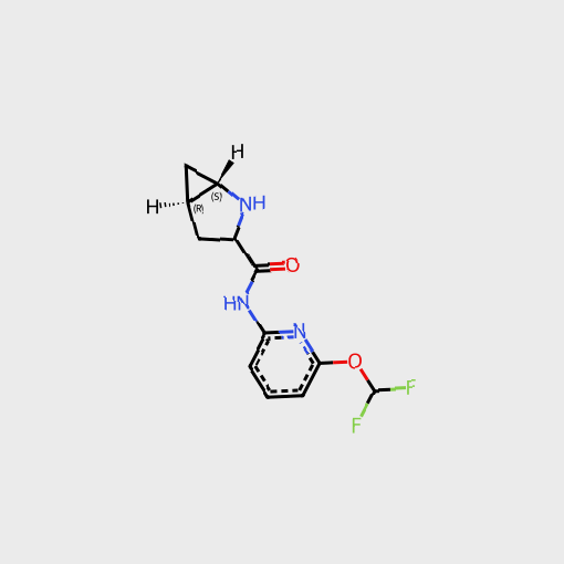 O=C(Nc1cccc(OC(F)F)n1)C1C[C@H]2C[C@@H]2N1